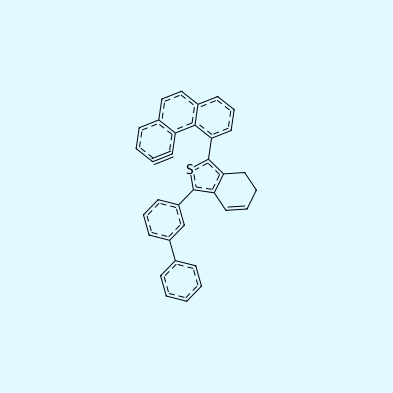 c1ccc2ccc3cccc(-c4sc(-c5cccc(-c6ccccc6)c5)c5c4CCC=C5)c3c2c#1